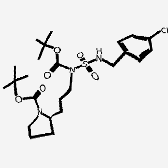 CC(C)(C)OC(=O)N1CCC[C@@H]1CCCN(C(=O)OC(C)(C)C)S(=O)(=O)NCc1ccc(Cl)cc1